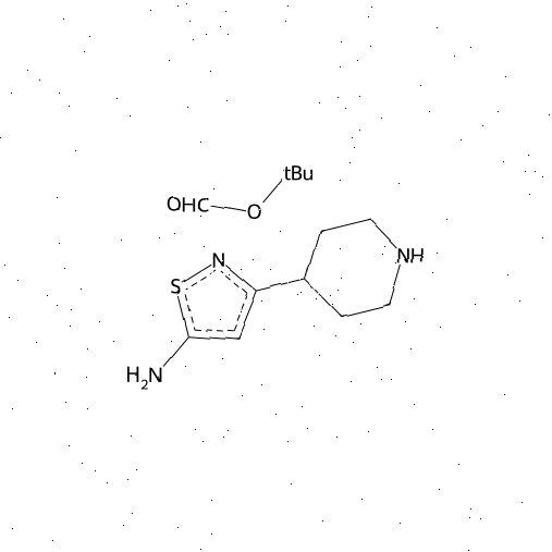 CC(C)(C)OC=O.Nc1cc(C2CCNCC2)ns1